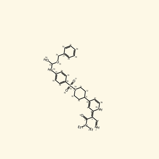 CCN(CC)C(=O)/C(C=N)=C1\C=C(C2CCN(S(=O)(=O)c3ccc(NC(O)OCc4ccccc4)cc3)CC2)C=CN1